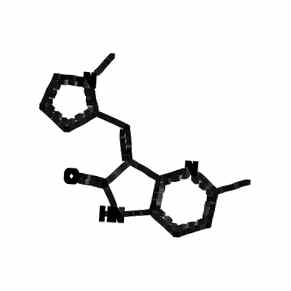 Cc1ccc2c(n1)C(=Cc1cccn1C)C(=O)N2